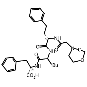 CCC(C)C(NC(=O)[C@H](CCc1ccccc1)NC(=O)CN1CCOCC1)C(=O)N[C@@H](Cc1ccccc1)C(=O)O